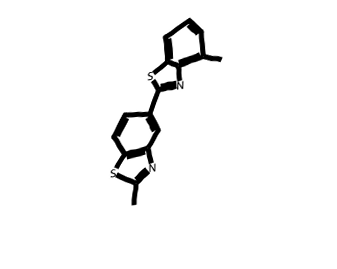 Cc1nc2cc(-c3nc4c(C)cccc4s3)ccc2s1